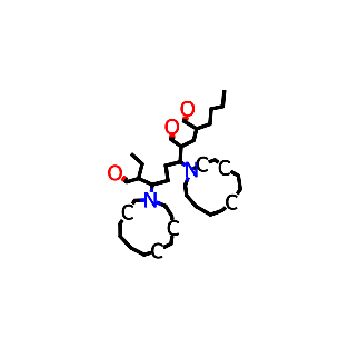 CCCCC(C=O)CC(C=O)C(CCC(C(C=O)CC)N1CCCCCCCCCCC1)N1CCCCCCCCCCC1